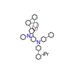 CC(C)c1ccccc1-c1ccc(N(c2ccc(-c3ccccc3)cc2)c2ccc3c(c2)c2ccc(-c4cccc5c4C4(c6ccccc6-5)C5CC6CC(C5)CC4C6)cc2n3-c2ccccc2)cc1